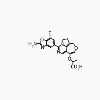 CC(OC1=COCC2=C3C1=CN=C(c1cc(F)c4oc(N)nc4c1)N3CC2)C(=O)O